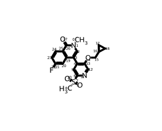 Cn1cc(-c2cc(S(C)(=O)=O)ncc2OCC2CC2)c2cc(F)ccc2c1=O